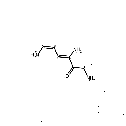 N/C=C\C=C(/N)C(=O)CN